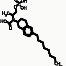 CCCCCCCCc1ccc2c(c1)CCC(N(C(=O)O)C(C)COP(=O)(O)O)C2